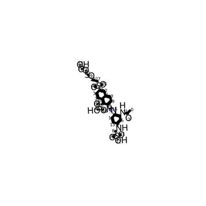 CC(=O)Nc1cc(NCS(=O)(=O)O)ccc1/N=N/c1ccc2cc(S(=O)(=O)CCOSOOO)ccc2c1S(=O)(=O)O